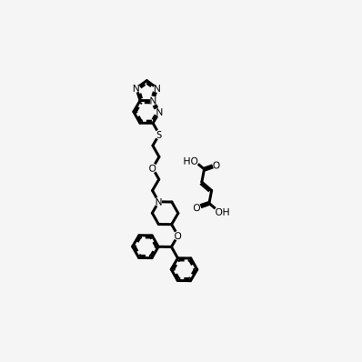 O=C(O)C=CC(=O)O.c1ccc(C(OC2CCN(CCOCCSc3ccc4ncnn4n3)CC2)c2ccccc2)cc1